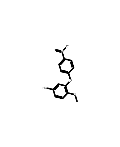 COc1ccc(O)cc1Oc1ccc([N+](=O)[O-])cc1